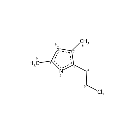 Cc1nc(CCCl)c(C)s1